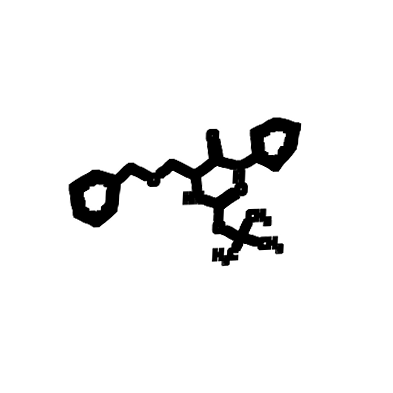 CC(C)(C)OC(=O)NC(COCc1ccccc1)C(=O)Nc1ccccc1